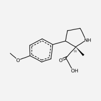 COc1ccc(C2CCN[C@]2(C)C(=O)O)cc1